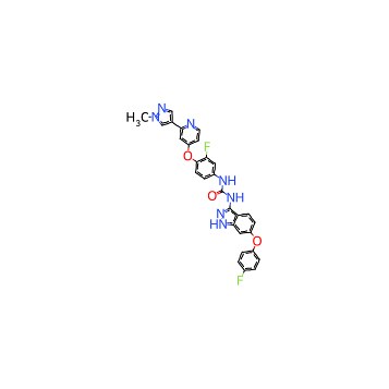 Cn1cc(-c2cc(Oc3ccc(NC(=O)Nc4n[nH]c5cc(Oc6ccc(F)cc6)ccc45)cc3F)ccn2)cn1